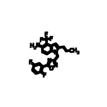 CCCc1cc2c(C(F)(F)F)c(N)ccc2n1Cc1noc(-c2cc(F)ccc2F)n1